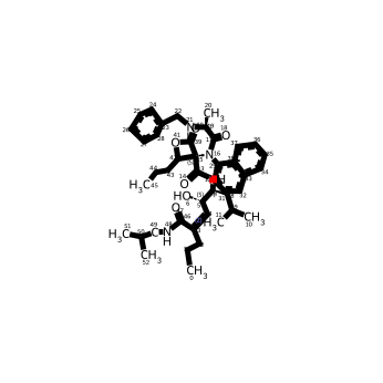 CCC/C(=C/[C@H](O)[C@H](CC(C)C)NC(=O)[C@]1(N(C(=O)[C@H](C)NCc2ccccc2)c2cccc3ccccc23)C(=O)OC1CCC)C(=O)NCC(C)C